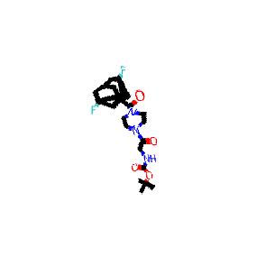 CC(C)(C)OC(=O)NCC(=O)N1CCN(C(=O)C23CC4CC(F)(CC(F)(C4)C2)C3)CC1